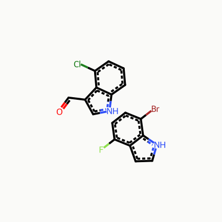 Fc1ccc(Br)c2[nH]ccc12.O=Cc1c[nH]c2cccc(Cl)c12